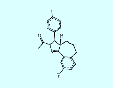 CC(=O)N1N=C2c3cc(F)ccc3CCC[C@H]2[C@@H]1c1ccc(C)cc1